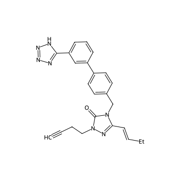 C#CCCn1nc(C=CCC)n(Cc2ccc(-c3cccc(-c4nnn[nH]4)c3)cc2)c1=O